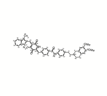 COc1cc2c(cc1OC)CN(CCc1ccc(NC(=O)c3ccc(C=c4[nH]c(=O)c(=Cc5sc6ccccc6c5C)n(C)c4=O)cc3)cc1)CC2